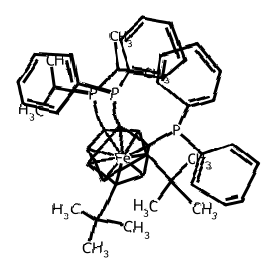 CC(C)P(C(C)C)[C]12[CH]3[CH]4[C]5(C(C)(C)C)[CH]1[Fe]34251678[CH]2[C]1(C(C)(C)C)[CH]6[C]7(P(c1ccccc1)c1ccccc1)[C]28P(c1ccccc1)c1ccccc1